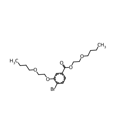 CCCCOCCOC(=O)c1ccc(Br)c(OCCOCCCC)c1